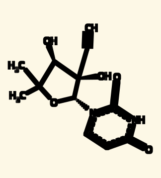 C#C[C@@]1(O)[C@H](O)C(C)(C)O[C@H]1n1ccc(=O)[nH]c1=O